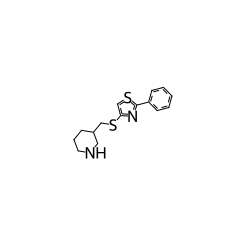 c1ccc(-c2nc(SCC3CCCNC3)cs2)cc1